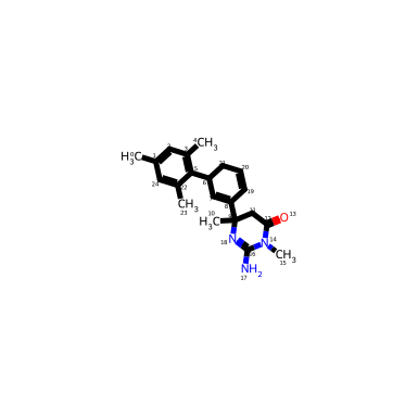 Cc1cc(C)c(C2C=C(C3(C)CC(=O)N(C)C(N)=N3)C=CC2)c(C)c1